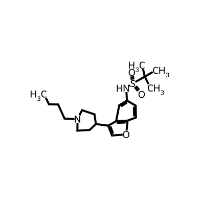 CCCCN1CCC(c2coc3ccc(NS(=O)(=O)C(C)(C)C)cc23)CC1